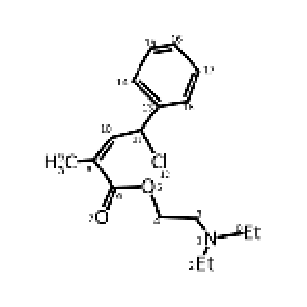 CCN(CC)CCOC(=O)C(C)=CC(Cl)c1ccccc1